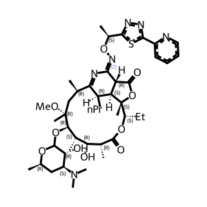 CCC[C@H]1C2=N/C(=N\O[C@@H](C)c3nnc(-c4ccccn4)s3)[C@@H]3C(=O)O[C@@](C)([C@@H]13)[C@H](CC)OC(=O)[C@H](C)[C@H](O)[C@H](C)[C@@H](OC1O[C@H](C)C[C@H](N(C)C)[C@H]1O)[C@](C)(OC)C[C@H]2C